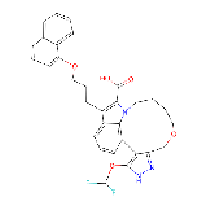 O=C(O)c1c(CCCOc2cccc3ccccc23)c2cccc3c2n1CCCCOCc1n[nH]c(OC(F)F)c1-3